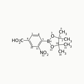 CC1(C)OB(c2ccc(C(=O)O)cc2[N+](=O)[O-])OC1(C)C